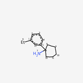 CCc1cccc(C2(N)CCCCC2)c1